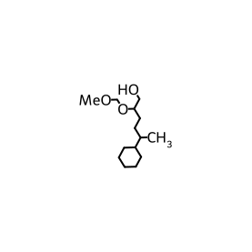 COCOC(CO)CCC(C)C1CCCCC1